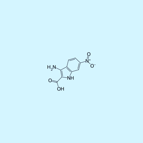 Nc1c(C(=O)O)[nH]c2cc([N+](=O)[O-])ccc12